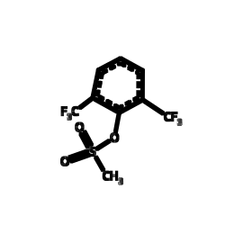 CS(=O)(=O)Oc1c(C(F)(F)F)cccc1C(F)(F)F